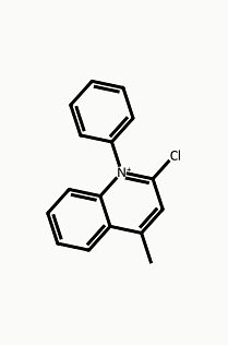 Cc1cc(Cl)[n+](-c2ccccc2)c2ccccc12